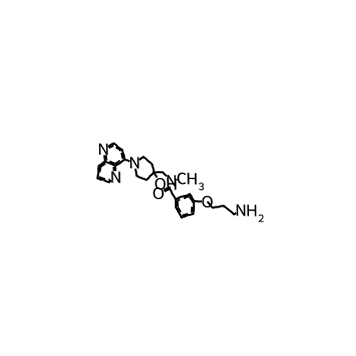 CN(CC1(O)CCN(c2ccnc3cccnc23)CC1)C(=O)c1cccc(OCCCN)c1